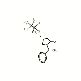 C[C@H](c1ccccc1)N1C[C@H](CO[Si](C)(C)C(C)(C)C)CC1=O